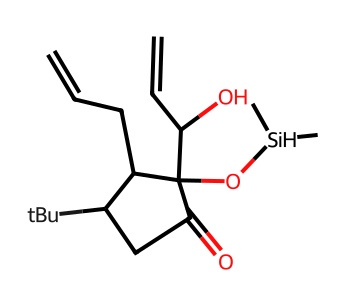 C=CCC1C(C(C)(C)C)CC(=O)C1(O[SiH](C)C)C(O)C=C